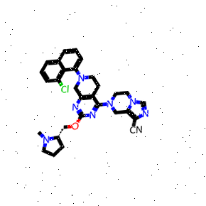 CN1CCC[C@H]1COc1nc2c(c(N3CCn4cnc(C#N)c4C3)n1)CCN(c1cccc3cccc(Cl)c13)C2